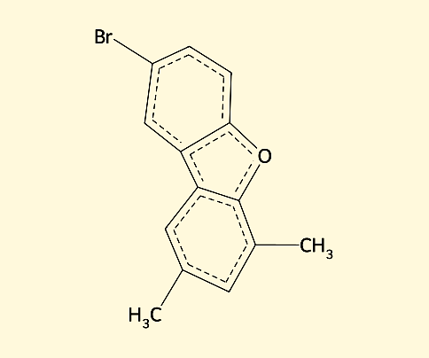 Cc1cc(C)c2oc3ccc(Br)cc3c2c1